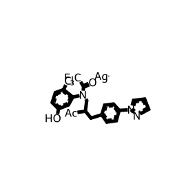 CC(=O)C(Cc1ccc(-n2cccn2)cc1)CN(C(=O)C(F)(F)F)c1cc(O)ccc1Cl.[Ag]